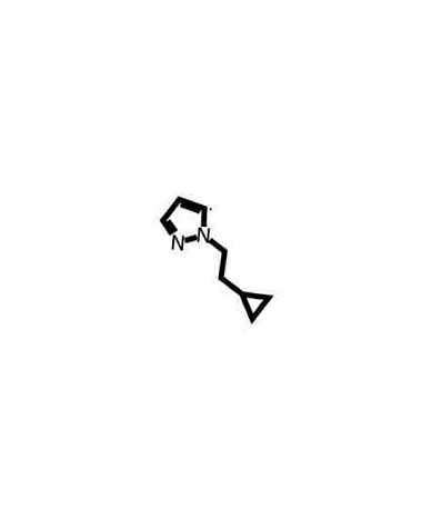 [c]1ccnn1CCC1CC1